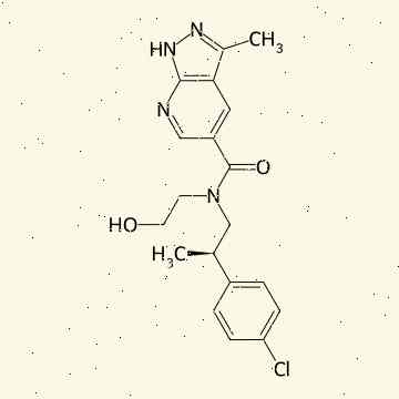 Cc1n[nH]c2ncc(C(=O)N(CCO)C[C@H](C)c3ccc(Cl)cc3)cc12